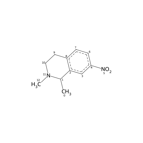 CC1c2cc([N+](=O)[O-])ccc2CCN1C